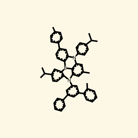 Cc1ccc(-c2ccc3c(c2)N(c2ccc(C(C)C)cc2)c2cc(C)cc4c2B3c2cc(C(C)C)ccc2N4c2cc(-c3ccccc3)cc(-c3ccccc3C)c2)cc1